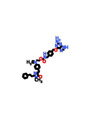 CN1C(=O)/C(=C/c2ccc(N(C)CCOC(=O)NCc3ccc(COc4nc(N)nc5[nH]cnc45)cc3)cc2)N=C1CCc1ccccc1